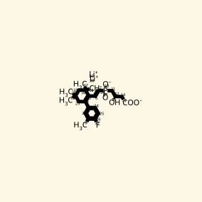 Cc1cc(C2=C(C=CP(=O)([O-])C[C@H](O)CC(=O)[O-])C(C)(C)CC(C)(C)C2)ccc1F.[Li+].[Li+]